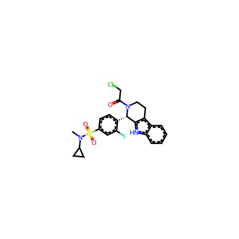 CN(C1CC1)S(=O)(=O)c1ccc([C@H]2c3[nH]c4ccccc4c3CCN2C(=O)CCl)c(F)c1